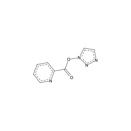 O=C(On1ccnn1)c1ccccn1